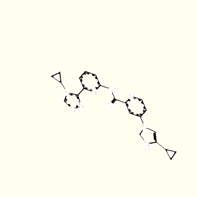 O=C(Nc1cccc(-c2nncn2C2CC2)n1)c1cc(N2C=C(C3CC3)NC2)ccn1